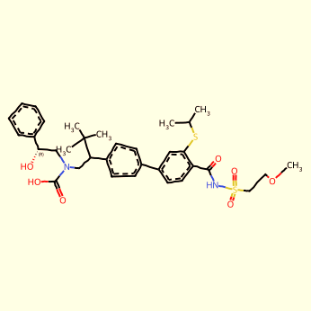 COCCS(=O)(=O)NC(=O)c1ccc(-c2ccc(C(CN(C[C@H](O)c3ccccc3)C(=O)O)C(C)(C)C)cc2)cc1SC(C)C